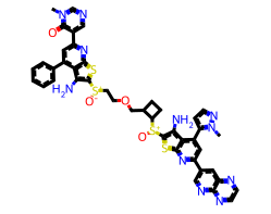 Cn1nccc1-c1cc(-c2cnc3nccnc3c2)nc2sc([S+]([O-])C3CCC3COCC[S+]([O-])c3sc4nc(-c5cncn(C)c5=O)cc(-c5ccccc5)c4c3N)c(N)c12